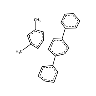 Cc1cccc(C)c1.c1ccc(-c2ccc(-c3ccccc3)cc2)cc1